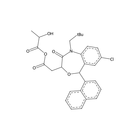 CC(O)C(=O)OC(=O)CC1OC(c2cccc3ccccc23)c2cc(Cl)ccc2N(CC(C)(C)C)C1=O